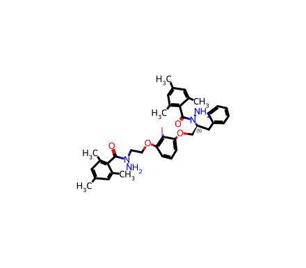 Cc1cc(C)c(C(=O)N(N)CCOc2cccc(OC[C@H](Cc3ccccc3)N(N)C(=O)c3c(C)cc(C)cc3C)c2I)c(C)c1